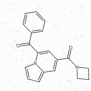 O=C(c1ccccc1)c1cc(C(=O)N2CCC2)cc2cccn12